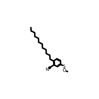 CCCCCCCCCCCCc1ccc(SOC)cc1C#N